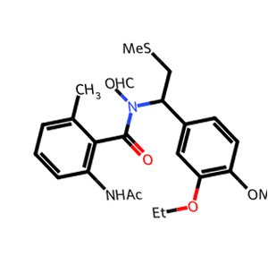 CCOc1cc(C(CSC)N(C=O)C(=O)c2c(C)cccc2NC(C)=O)ccc1OC